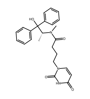 C[C@@H](N(C)C(=O)CCCn1ccc(=O)[nH]c1=O)C(O)(c1ccccc1)c1ccccc1